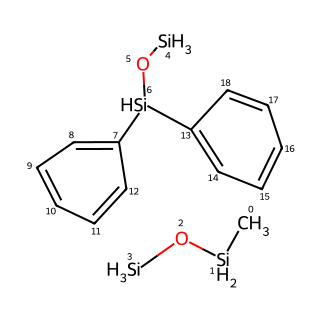 C[SiH2]O[SiH3].[SiH3]O[SiH](c1ccccc1)c1ccccc1